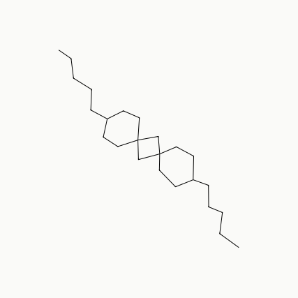 CCCCCC1CCC2(CC1)CC1(CCC(CCCCC)CC1)C2